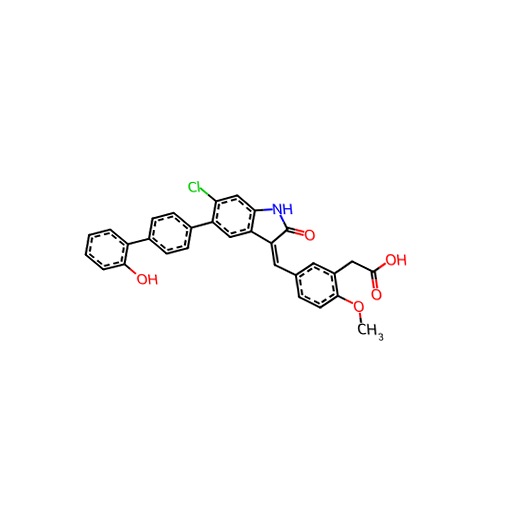 COc1ccc(C=C2C(=O)Nc3cc(Cl)c(-c4ccc(-c5ccccc5O)cc4)cc32)cc1CC(=O)O